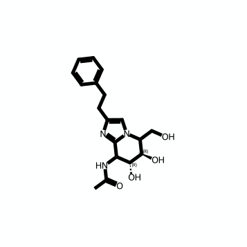 CC(=O)NC1c2nc(CCc3ccccc3)cn2C(CO)[C@@H](O)[C@@H]1O